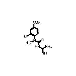 CSc1ccc(N(C)C(=O)NC(=N)N)c(Cl)c1